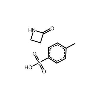 Cc1ccc(S(=O)(=O)O)cc1.O=C1CCN1